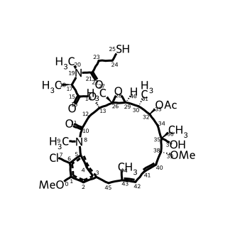 COc1cc2cc(c1Cl)N(C)C(=O)C[C@H](OC(=O)[C@@H](C)N(C)C(=O)CCS)[C@]1(C)O[C@H]1[C@H](C)[C@@H](OC(C)=O)C[C@](C)(O)[C@H](OC)/C=C/C=C(\C)C2